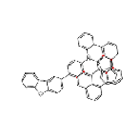 C1=CC(c2ccccc2N(c2ccc(-c3ccc4oc5ccccc5c4c3)cc2)c2ccccc2-c2cccc3cccc(-c4ccccc4)c23)=C2Sc3ccccc3C2C1